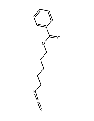 O=C(OCCCCCN=C=S)c1ccccc1